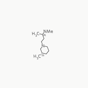 CN[C@H](C)CCN1CCC[C@H](C)C1